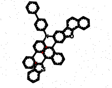 c1ccc(-c2ccc(N(c3ccc(-c4ccccc4)cc3)c3cc4c(cc3-c3ccc(-c5nc6ccccc6s5)c5ccccc35)oc3c5ccccc5ccc43)cc2)cc1